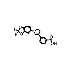 O=C(O)c1cccc(C2=CN(c3ccc4c(c3)OC(F)(F)O4)CC2)c1